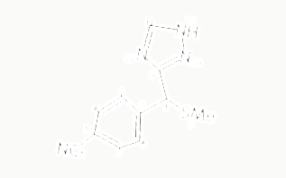 CSC(c1ccc(C#N)cc1)c1nc[nH]n1